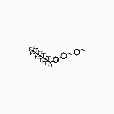 CC[C@H]1CC[C@H](CC[C@H]2CC[C@H](c3ccc(C(=O)C(F)(F)C(F)(F)C(F)(F)C(F)(F)C(F)(F)C(F)(F)C(F)(F)F)cc3)CC2)CC1